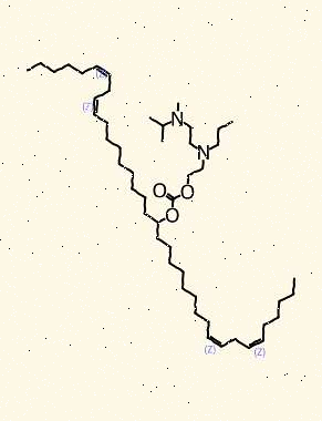 CCCCC/C=C\C/C=C\CCCCCCCCC(CCCCCCCC/C=C\C/C=C\CCCCC)OC(=O)OCCN(CCC)CCN(C)C(C)C